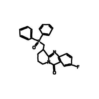 O=c1c2cc(F)ccc2nc2n1CCCC2CP(=O)(c1ccccc1)c1ccccc1